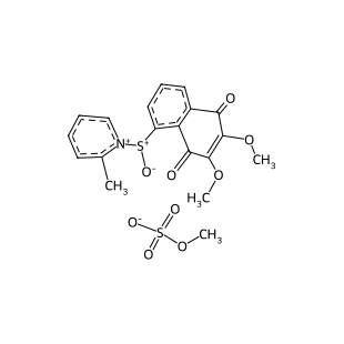 COC1=C(OC)C(=O)c2c(cccc2[S+]([O-])[n+]2ccccc2C)C1=O.COS(=O)(=O)[O-]